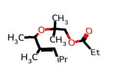 CCC(=O)OCC(C)(C)OC(C)C(C)=CC(C)C